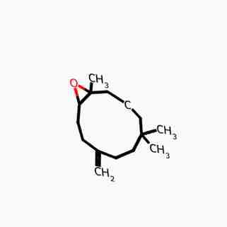 C=C1CCC2OC2(C)CCCC(C)(C)CC1